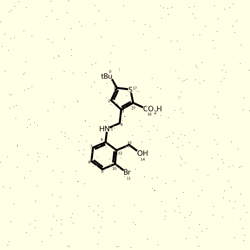 CC(C)(C)c1cc(CNc2cccc(Br)c2CO)c(C(=O)O)s1